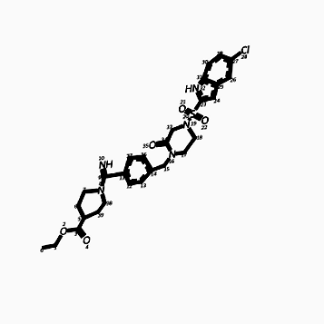 CCOC(=O)C1CCN(C(=N)c2ccc(CN3CCN(S(=O)(=O)c4cc5cc(Cl)ccc5[nH]4)CC3=O)cc2)CC1